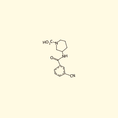 N#Cc1cccc(C(=O)NC2CCCN(C(=O)O)C2)c1